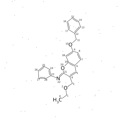 CCOCc1cc2ccc(OCc3ccccc3)cc2oc1=Nc1ccccc1